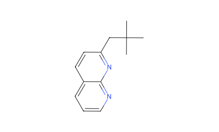 CC(C)(C)Cc1ccc2cccnc2n1